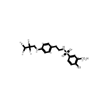 CCc1ccc(S(=O)(=O)NCCc2ccc(OCC(F)(F)C(F)F)cc2)cc1C(=O)O